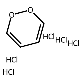 C1=COOC=C1.Cl.Cl.Cl.Cl.Cl